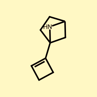 C1=C(C23CCC(C2)N3)CC1